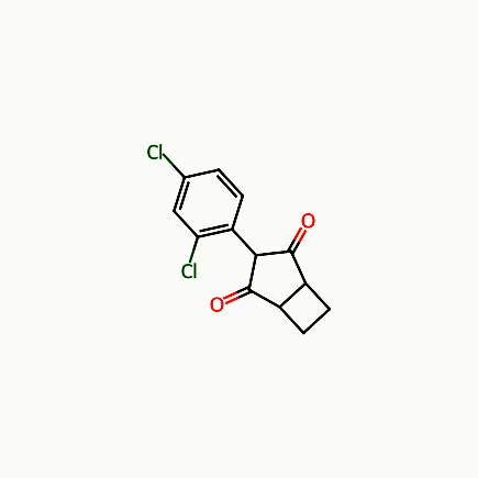 O=C1C(c2ccc(Cl)cc2Cl)C(=O)C2CCC12